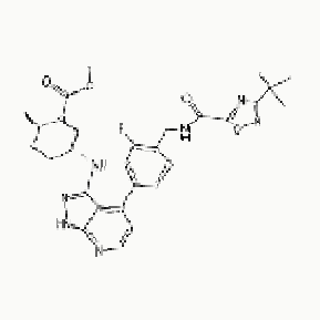 COC(=O)N1C[C@H](Nc2n[nH]c3nccc(-c4ccc(CNC(=O)c5nc(C(C)(C)C)no5)c(F)c4)c23)CC[C@H]1C